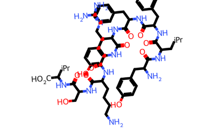 CC(C)CC(NC(=O)C(N)Cc1ccc(O)cc1)C(=O)NC(Cc1ccccc1)C(=O)NC(Cc1ccccc1)C(=O)NC(Cc1ccc(O)cc1)C(=O)NC(CCCN=C(N)N)C(=O)NC(CCCCN)C(=O)NC(CO)C(=O)NC(C(=O)O)C(C)C